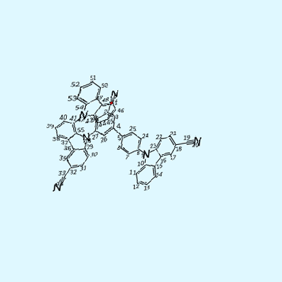 N#Cc1cc(-c2ccc(-n3c4ccccc4c4cc(C#N)ccc43)cc2)cc(-n2c3ccc(C#N)cc3c3cccc(-n4c5ccccc5c5ccccc54)c32)c1